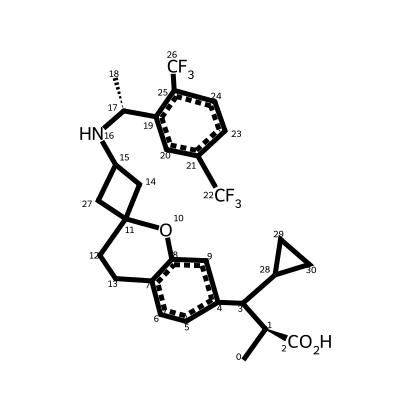 C[C@H](C(=O)O)C(c1ccc2c(c1)OC1(CC2)CC(N[C@H](C)c2cc(C(F)(F)F)ccc2C(F)(F)F)C1)C1CC1